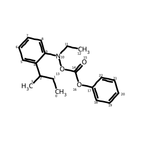 CCC(C)c1ccccc1N(CC)OC(=O)Oc1ccccc1